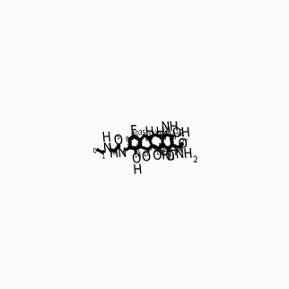 CCNCC(=O)Nc1cc(F)c2c(c1O)C(=O)C1=C(O)[C@]3(O)C(=O)C(C(N)=O)=C(O)[C@@H](N)[C@@H]3C[C@@H]1C2